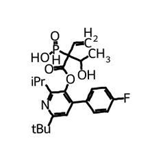 C=CC(C(=O)Oc1c(-c2ccc(F)cc2)cc(C(C)(C)C)nc1C(C)C)(C(C)O)[PH](=O)O